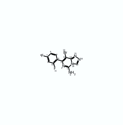 Nc1nc(-c2ccc(F)cc2F)c(Br)c2nncn12